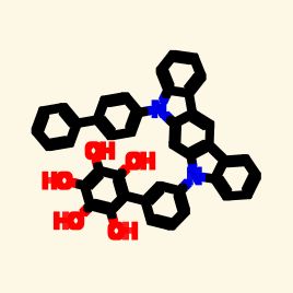 Oc1c(O)c(O)c(-c2cccc(-n3c4ccccc4c4cc5c6ccccc6n(-c6ccc(-c7ccccc7)cc6)c5cc43)c2)c(O)c1O